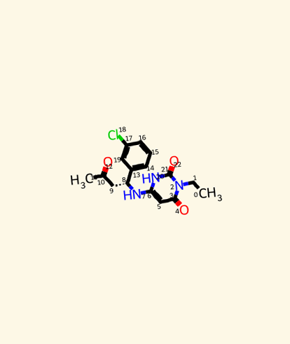 CCn1c(=O)cc(N[C@H](CC(C)=O)c2cccc(Cl)c2)[nH]c1=O